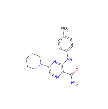 NC(=O)c1ncc(N2CCCCC2)nc1Nc1ccc([N+](=O)[O-])cc1